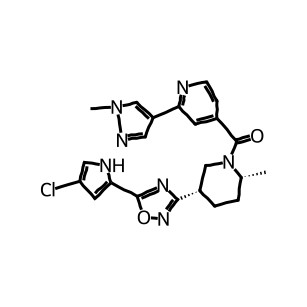 C[C@@H]1CC[C@H](c2noc(-c3cc(Cl)c[nH]3)n2)CN1C(=O)c1ccnc(-c2cnn(C)c2)c1